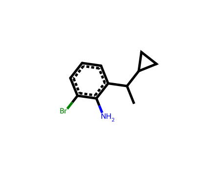 CC(c1cccc(Br)c1N)C1CC1